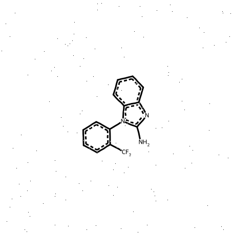 Nc1nc2ccccc2n1-c1ccccc1C(F)(F)F